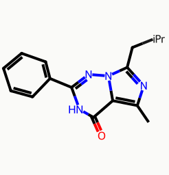 Cc1nc(CC(C)C)n2nc(-c3ccccc3)[nH]c(=O)c12